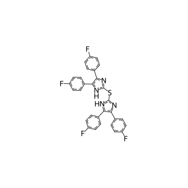 Fc1ccc(-c2nc(Sc3nc(-c4ccc(F)cc4)c(-c4ccc(F)cc4)[nH]3)[nH]c2-c2ccc(F)cc2)cc1